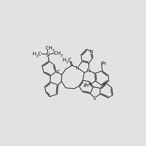 C=C1CC2C(CCc3cc4sc5ccccc5c4cc3C3N1c1ccncc1N3c1c(C(C)C)cccc1C(C)C)c1ccccc1-c1ccc([Si](C)(C)C)c[n+]12